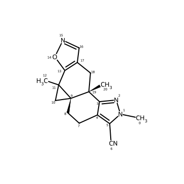 Cn1nc2c(c1C#N)CC[C@@]13CC1(C)c1oncc1C[C@]23C